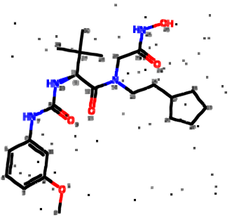 COc1cccc(NC(=O)N[C@H](C(=O)N(CCC2CCCC2)CC(=O)NO)C(C)(C)C)c1